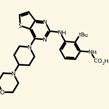 CC(C)(C)c1c(NC(=O)O)cccc1Nc1nc(N2CCC(N3CCOCC3)CC2)c2sccc2n1